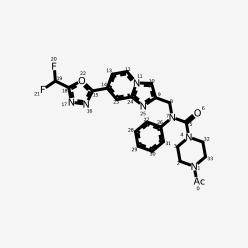 CC(=O)N1CCN(C(=O)N(Cc2cn3ccc(-c4nnc(C(F)F)o4)cc3n2)c2ccccc2)CC1